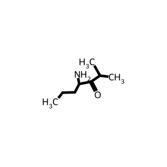 CCCC(N)C(=O)C(C)C